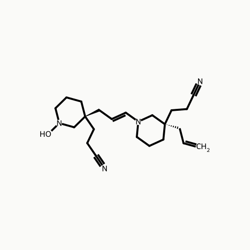 C=CC[C@]1(CCC#N)CCCN(/C=C/C[C@]2(CCC#N)CCCN(O)C2)C1